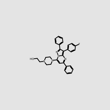 OCCN1CCN(c2cc(-c3ccccc3)nc3c(-c4ccc(F)cc4)c(-c4ccccc4)nn23)CC1